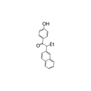 CCC(C(=O)c1ccc(O)cc1)c1ccc2ccccc2c1